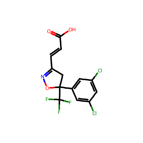 O=C(O)C=CC1=NOC(c2cc(Cl)cc(Cl)c2)(C(F)(F)F)C1